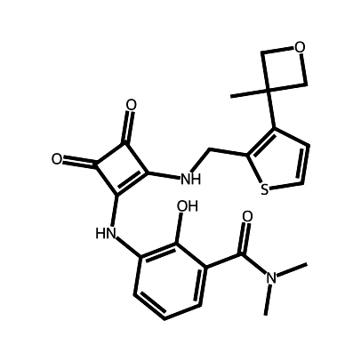 CN(C)C(=O)c1cccc(Nc2c(NCc3sccc3C3(C)COC3)c(=O)c2=O)c1O